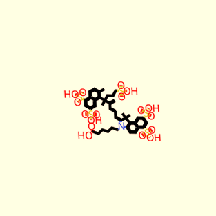 C=C(/C=C/C=C1/N(CCCCCC(=O)O)c2ccc3c(S(=O)(=O)O)cc(S(=O)(=O)O)cc3c2C1(C)C)C(C)(CCCS(=O)(=O)O)c1c(C)ccc2c(S(=O)(=O)O)cc(S(=O)(=O)O)cc12